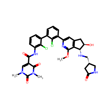 COc1nc(-c2cccc(-c3cccc(NC(=O)c4cn(C)c(=O)n(C)c4=O)c3Cl)c2Cl)cc2c1[C@@H](NC[C@@H]1CNC(=O)C1)[C@H](O)C2